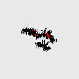 CNc1nc(Nc2cc(C)c(C3COCCN3C(=O)N3CCOCC3c3cc(OC)c(Nc4ncc(Cl)c(OC)n4)cc3OC)cc2OCCF)ncc1C(F)(F)F.CNc1nc(Nc2cc(OC)c(C(=O)N3CCCC3)cc2OCCF)ncc1C(F)(F)F.[2H]C1([2H])OC([2H])([2H])C([2H])([2H])N(C(=O)c2cc(Cl)c(Nc3ncc(C(F)(F)F)c(NCC)n3)cc2OC)C1([2H])[2H]